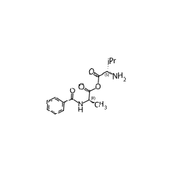 CC(C)[C@H](N)C(=O)OC(=O)[C@@H](C)NC(=O)c1ccccc1